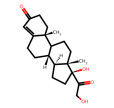 C[C@]12CCC(=O)C=C1CC[C@@H]1C2CC[C@@]2(C)[C@H]1CC[C@@]2(O)C(=O)CO